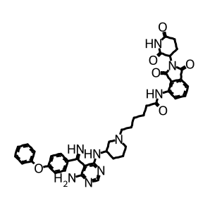 N=C(c1ccc(Oc2ccccc2)cc1)c1c(N)ncnc1NC1CCCN(CCCCCC(=O)Nc2cccc3c2C(=O)N(C2CCC(=O)NC2=O)C3=O)C1